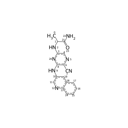 CC(Nc1cnc(C#N)c(Nc2cnc3ccccc3c2)n1)C(N)=O